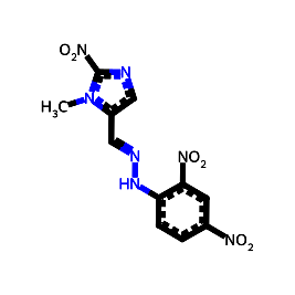 Cn1c(/C=N/Nc2ccc([N+](=O)[O-])cc2[N+](=O)[O-])cnc1[N+](=O)[O-]